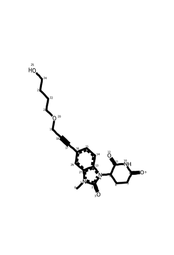 Cn1c(=O)n(C2CCC(=O)NC2=O)c2ccc(C#CCOCCCCO)cc21